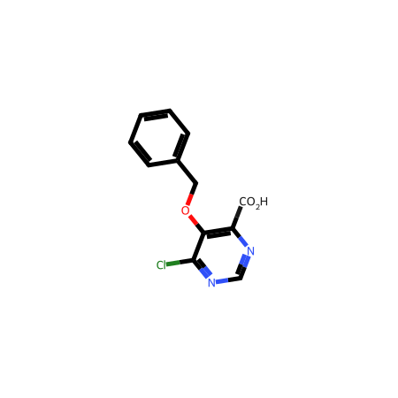 O=C(O)c1ncnc(Cl)c1OCc1ccccc1